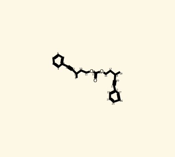 CC(C#Cc1ccccc1)CCOC(=O)OCCC(C)C#Cc1ccccc1